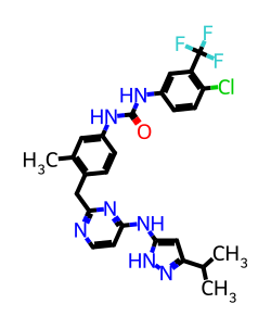 Cc1cc(NC(=O)Nc2ccc(Cl)c(C(F)(F)F)c2)ccc1Cc1nccc(Nc2cc(C(C)C)n[nH]2)n1